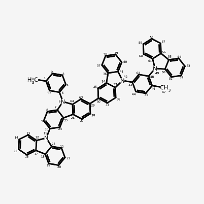 Cc1cccc(-n2c3ccc(-n4c5ccccc5c5ccccc54)cc3c3ccc(-c4ccc5c(c4)c4ccccc4n5-c4ccc(C)c(-n5c6ccccc6c6ccccc65)c4)cc32)c1